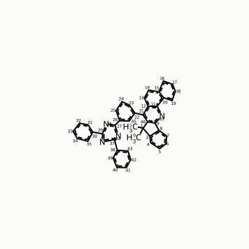 CC1(C)c2ccccc2-c2nc3c(ccc4ccccc43)c(-c3cccc(-c4nc(-c5ccccc5)nc(-c5ccccc5)n4)c3)c21